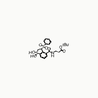 CC(C)(C)OC(=O)CCNC(=O)c1cccc2c1C(S(=O)(=O)c1ccccc1)CS2(O)O